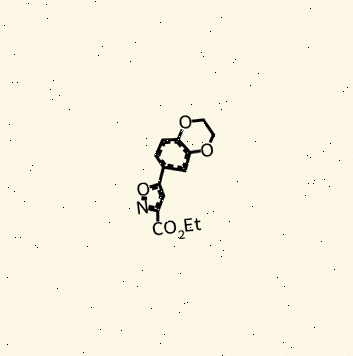 CCOC(=O)c1cc(-c2ccc3c(c2)OCCO3)on1